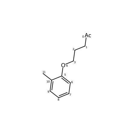 CC(=O)CCCOc1ccccc1C